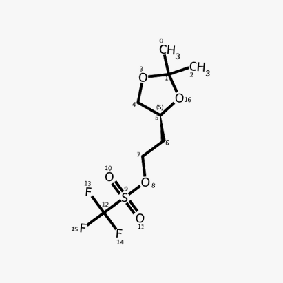 CC1(C)OC[C@H](CCOS(=O)(=O)C(F)(F)F)O1